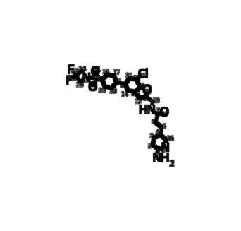 Nc1ccc(/C=C/C(=O)NCc2cc3cc(-c4ccc(S(=O)(=O)N5CC(F)(F)C5)cc4)cc(Cl)c3o2)cn1